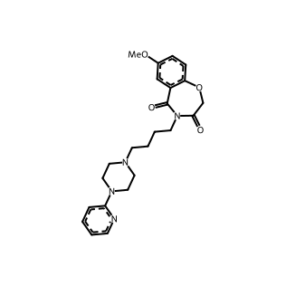 COc1ccc2c(c1)C(=O)N(CCCCN1CCN(c3ccccn3)CC1)C(=O)CO2